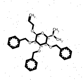 C=CCO[C@H]1O[C@@H](P(C)C)[C@@H](OCc2ccccc2)[C@H](OCc2ccccc2)[C@H]1OCc1ccccc1